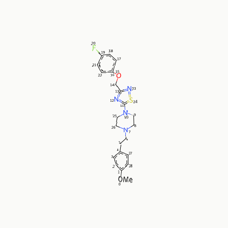 COc1ccc(CCN2CCN(c3nc(COc4ccc(F)cc4)ns3)CC2)cc1